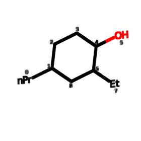 CCCC1CCC(O)C(CC)C1